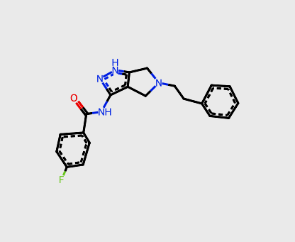 O=C(Nc1n[nH]c2c1CN(CCc1ccccc1)C2)c1ccc(F)cc1